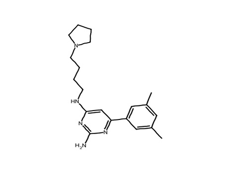 Cc1cc(C)cc(-c2cc(NCCCCN3CCCC3)nc(N)n2)c1